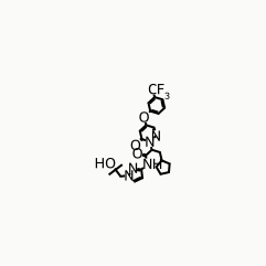 CC(C)(O)Cn1ccc(NC(=O)C(CC2CCCC2)n2ncc(Oc3cccc(C(F)(F)F)c3)cc2=O)n1